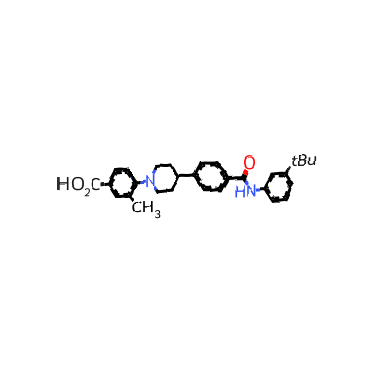 Cc1cc(C(=O)O)ccc1N1CCC(c2ccc(C(=O)Nc3cccc(C(C)(C)C)c3)cc2)CC1